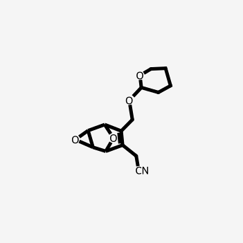 N#CCC1=C(COC2CCCCO2)C2OC1C1OC21